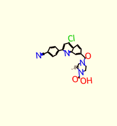 C[C@@H]1CN(C(=O)c2ccc3c(Cl)cc(-c4ccc(C#N)cc4)nc3c2)CCN1C(=O)O